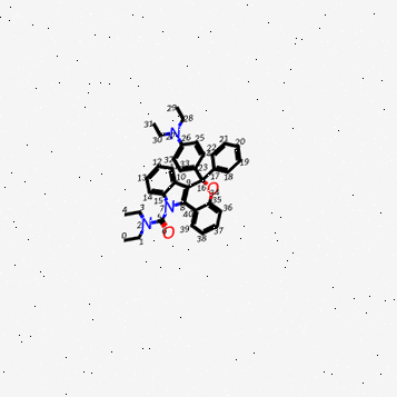 CCN(CC)C(=O)n1c2c(c3ccccc31)C(c1ccccc1)(c1ccc(N(CC)CC)cc1)Oc1ccccc1-2